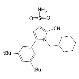 CC(C)(C)c1cc(-c2cc(S(N)(=O)=O)c(C#N)n2CC2CCCCC2)cc(C(C)(C)C)c1